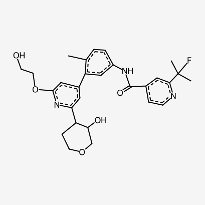 Cc1ccc(NC(=O)c2ccnc(C(C)(C)F)c2)cc1-c1cc(OCCO)nc(C2CCOCC2O)c1